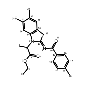 CCOC(=O)C(C)n1/c(=N/C(=O)c2ccc(C)cc2)sc2cc(C)c(F)cc21